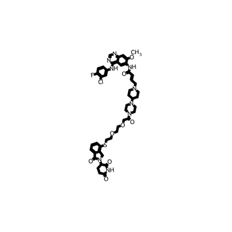 COc1cc2ncnc(Nc3ccc(F)c(Cl)c3)c2cc1NC(=O)/C=C/CN1CCC(N2CCN(C(=O)COCCOCCSc3cccc4c3CN(C3CCC(=O)NC3=O)C4=O)CC2)CC1